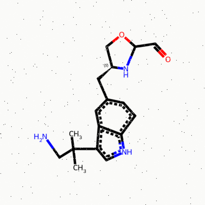 CC(C)(CN)c1c[nH]c2ccc(C[C@H]3COC(C=O)N3)cc12